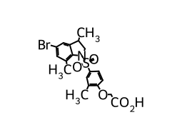 Cc1cc(S(=O)(=O)N2CC(C)c3cc(Br)cc(C)c32)ccc1OCC(=O)O